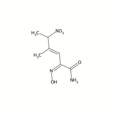 CC(=CC(=NO)C(N)=O)C(C)[N+](=O)[O-]